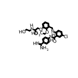 N=C(N)c1ccc(NC(=O)c2cc(Cl)ccc2NCc2cccc(OCC(=O)NCCO)c2OCC(=O)O)cc1